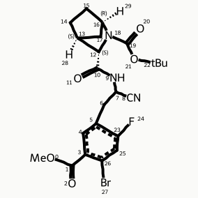 COC(=O)c1cc(CC(C#N)NC(=O)[C@@H]2[C@H]3CC[C@H](C3)N2C(=O)OC(C)(C)C)c(F)cc1Br